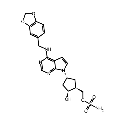 NS(=O)(=O)OC[C@@H]1C[C@@H](n2ccc3c(NCc4ccc5c(c4)OCO5)ncnc32)C[C@@H]1O